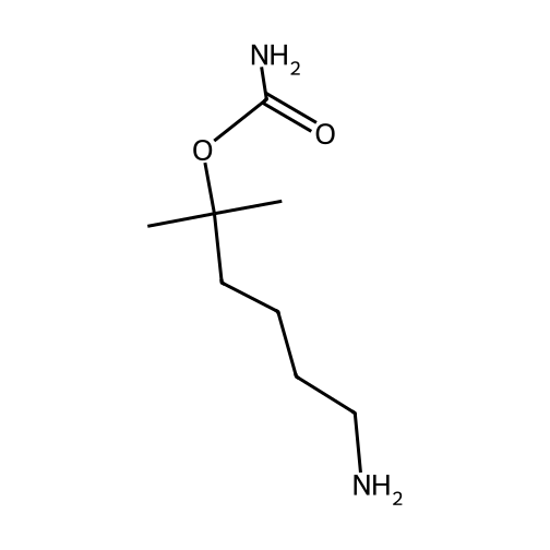 CC(C)(CCCCN)OC(N)=O